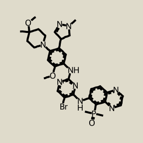 COc1cc(N2CCC(C)(OC)CC2)c(C2C=NN(C)C2)cc1Nc1ncc(Br)c(Nc2ccc3nccnc3c2P(C)(C)=O)n1